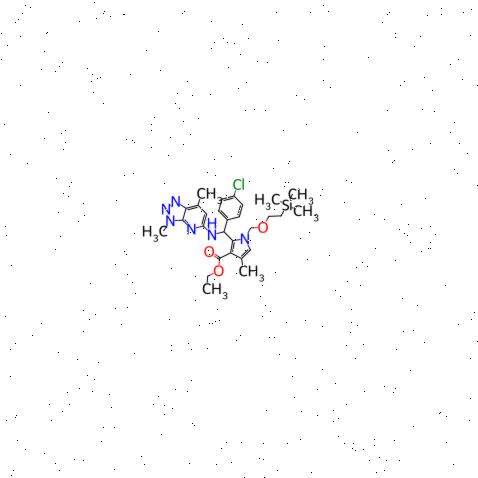 CCOC(=O)c1c(C)cn(COCC[Si](C)(C)C)c1C(Nc1cc(C)c2nnn(C)c2n1)c1ccc(Cl)cc1